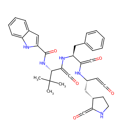 CC(C)(C)[C@H](NC(=O)c1cc2ccccc2[nH]1)C(=C=O)N[C@@H](Cc1ccccc1)C(=C=O)N[C@H](C=C=O)C[C@@H]1CCNC1=C=O